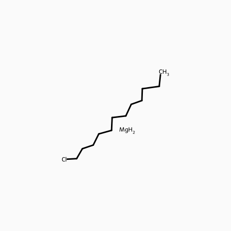 CCCCCCCCCCCCCl.[MgH2]